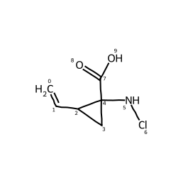 C=CC1CC1(NCl)C(=O)O